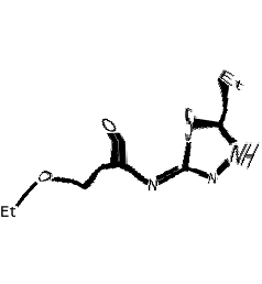 CCOCC(=O)N=C1[N]NC(CC)S1